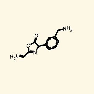 C=CC1=NC(c2cccc(CN)c2)C(=O)O1